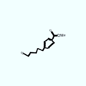 COC(=O)c1ccc(CCCCCCl)cc1